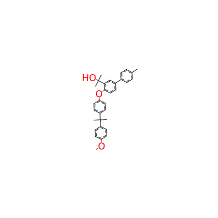 COc1ccc(C(C)(C)c2ccc(Oc3ccc(-c4ccc(C)cc4)cc3C(C)(C)O)cc2)cc1